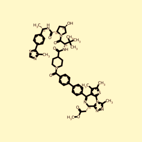 COC(=O)C[C@@H]1N=C(c2ccc(-c3ccc(C(=O)N4CCC(C(=O)N[C@H](C(=O)N5C[C@H](O)C[C@H]5C(=O)N[C@@H](C)c5ccc(-c6scnc6C)cc5)C(C)(C)C)CC4)cc3)cc2)c2c(sc(C)c2C)-n2c(C)nnc21